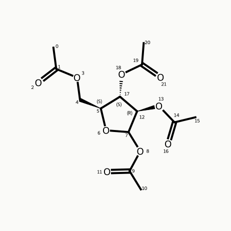 CC(=O)OC[C@@H]1OC(OC(C)=O)[C@H](OC(C)=O)[C@H]1OC(C)=O